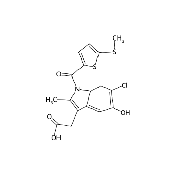 CSc1ccc(C(=O)N2C(C)=C(CC(=O)O)C3=CC(O)=C(Cl)CC32)s1